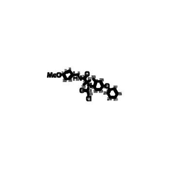 COc1ccc(CNC(=O)C(C)(C)N(C(=O)CCl)c2ccc(Oc3ccccc3)cc2C)cc1